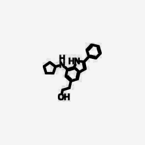 OCCc1cc(NC2CCCC2)c2[nH]c(-c3ccccc3)cc2c1